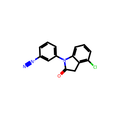 N#[N+]c1cccc(N2C(=O)Cc3c(Cl)cccc32)c1